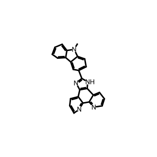 Cn1c2ccccc2c2cc(-c3nc4c5cccnc5c5ncccc5c4[nH]3)ccc21